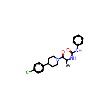 CC(C)C(NC(=O)Nc1ccccc1)C(=O)N1CCC(c2ccc(Cl)cc2)CC1